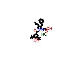 CCCC1CN(CC(=O)c2cc(C(C)(C)C)c(O)c(C(C)(C)C)c2)/C(=N/CC(=O)O)C1Cc1ccccc1.Cl